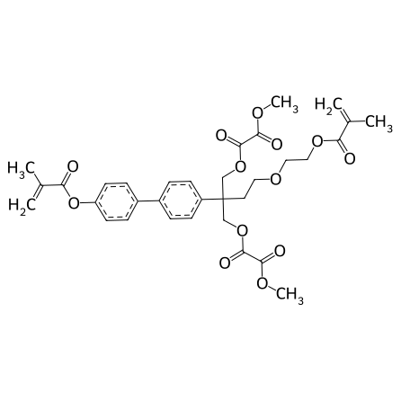 C=C(C)C(=O)OCCOCCC(COC(=O)C(=O)OC)(COC(=O)C(=O)OC)c1ccc(-c2ccc(OC(=O)C(=C)C)cc2)cc1